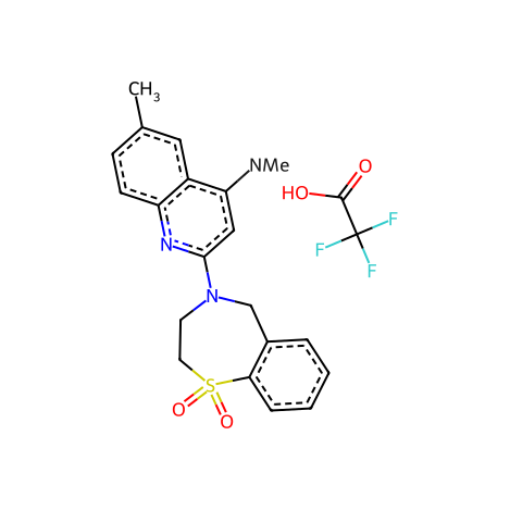 CNc1cc(N2CCS(=O)(=O)c3ccccc3C2)nc2ccc(C)cc12.O=C(O)C(F)(F)F